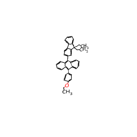 CCOc1ccc(-c2c3ccccc3c(-c3ccc4c(c3)C(CC)(CC)c3ccccc3-4)c3ccccc23)cc1